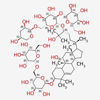 C[C@H](CC[C@@H](O[C@@H]1O[C@H](CO[C@H]2OC[C@@H](O)C[C@H]2O)[C@@H](O)[C@H](O)[C@H]1O[C@H]1O[C@@H](CO)[C@H](O)[C@@H](O)[C@@H]1O)C(C)(C)O)C1CC[C@@]2(C)C3CC=C4C(CC[C@H](O[C@@H]5O[C@H](CO[C@H]6O[C@H](CO)[C@@H](O)[C@H](O)[C@H]6O)[C@@H](O)[C@H](O)[C@H]5O)C4(C)C)[C@]3(C)[C@H](O)C[C@]12C